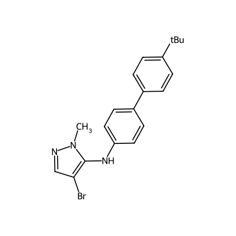 Cn1ncc(Br)c1Nc1ccc(-c2ccc(C(C)(C)C)cc2)cc1